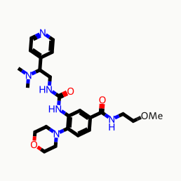 COCCNC(=O)c1ccc(N2CCOCC2)c(NC(=O)NCC(c2ccncc2)N(C)C)c1